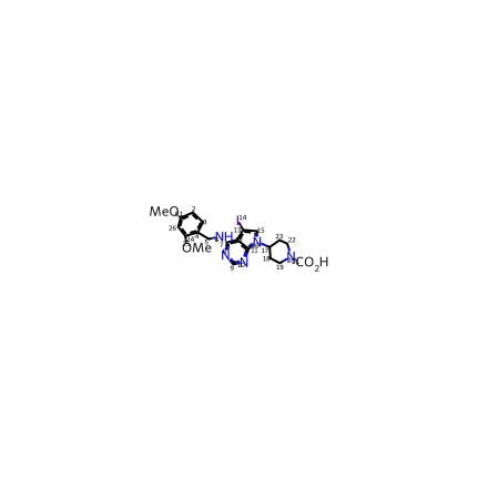 COc1ccc(CNc2ncnc3c2c(I)cn3C2CCN(C(=O)O)CC2)c(OC)c1